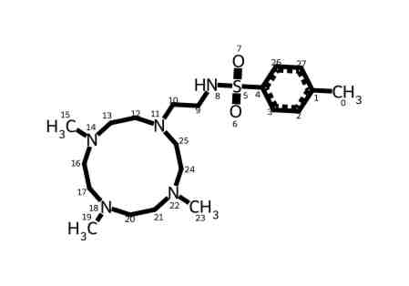 Cc1ccc(S(=O)(=O)NCCN2CCN(C)CCN(C)CCN(C)CC2)cc1